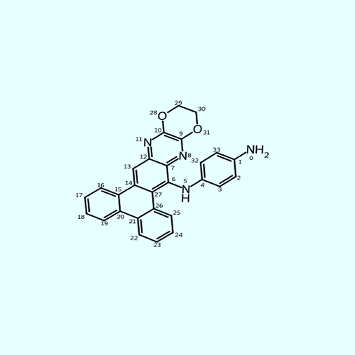 Nc1ccc(Nc2c3nc4c(nc3cc3c5ccccc5c5ccccc5c23)OCCO4)cc1